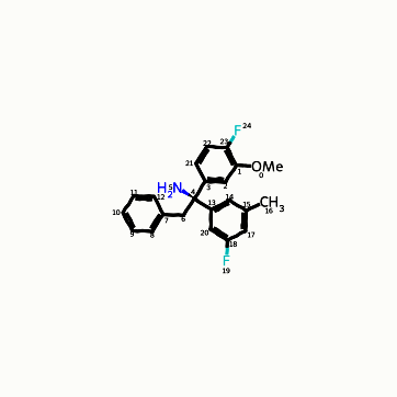 COc1cc([C@@](N)(Cc2ccccc2)c2cc(C)cc(F)c2)ccc1F